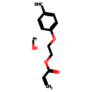 C=CC(=O)OCCOc1ccc(C=O)cc1.CC(C)O